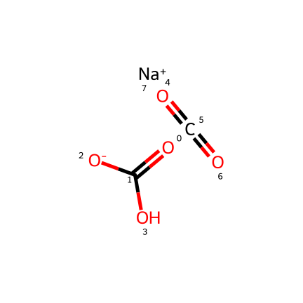 O=C([O-])O.O=C=O.[Na+]